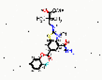 CCn1/c(=N/CC(C)(C)C(=O)OC)sc2cc(C(=O)Oc3ccccc3F)cc(C(N)=O)c21